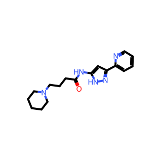 O=C(CCCN1CCCCC1)Nc1cc(-c2ccccn2)n[nH]1